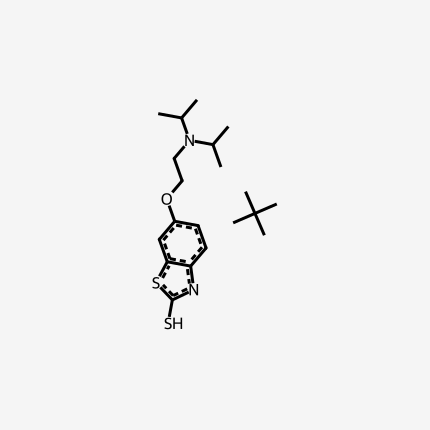 CC(C)(C)C.CC(C)N(CCOc1ccc2nc(S)sc2c1)C(C)C